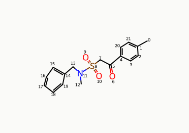 Cc1ccc(C(=O)CS(=O)(=O)N(C)Cc2ccccc2)cc1